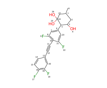 CC1CC(O)C(c2cc(F)c(C#Cc3ccc(F)c(F)c3)c(F)c2)C(O)(O)C1